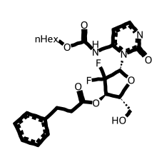 CCCCCCOC(=O)Nc1ccnc(=O)n1[C@@H]1O[C@H](CO)[C@@H](OC(=O)CCc2ccccc2)C1(F)F